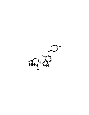 Cc1c(CC2CCNCC2)ccn2ncc(N3CCC(=O)NC3=O)c12